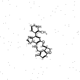 CC1=C(c2cc3c(n4ncnc24)NCc2c(F)ccc4c2/C(=C/O3)CO4)C=CCN1